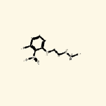 O=[N+]([O-])c1c(F)cccc1OCCOPI